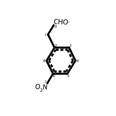 O=[C]Cc1cccc([N+](=O)[O-])c1